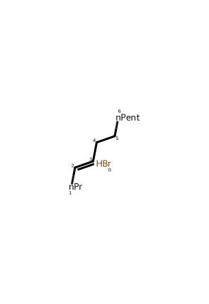 Br.CCCC=CCCCCCCC